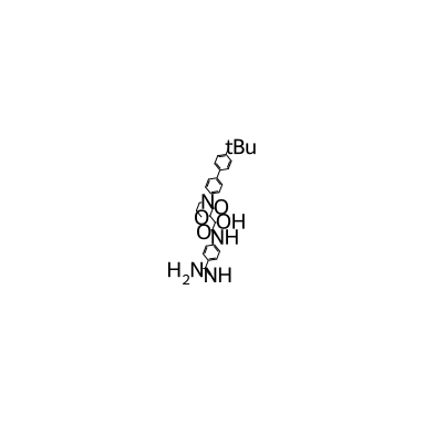 CC(C)(C)c1ccc(-c2ccc(N3CCO[C@H]([C@@H](O)C(=O)Nc4ccc(C(=N)N)cc4)C3=O)cc2)cc1